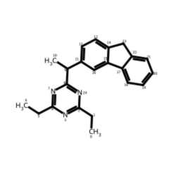 CCc1nc(CC)nc(C(C)c2ccc3c(c2)-c2ccccc2C3)n1